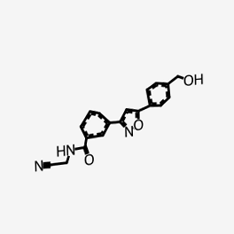 N#CCNC(=O)c1cccc(-c2cc(-c3ccc(CO)cc3)on2)c1